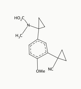 COc1ccc(C2(N(C)C(=O)O)CC2)cc1C1(C#N)CC1